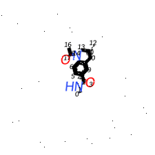 CNC(=O)c1ccc2c(c1)C[C@@H](C)CN2C(C)=O